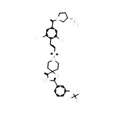 CN[C@@H]1CCN(C(=O)c2cc(C)c(C=CS(=O)(=O)N3CCC4(CC3)N=C(c3cccc(OC(F)(F)F)c3)NC4=O)c(C)c2)C1